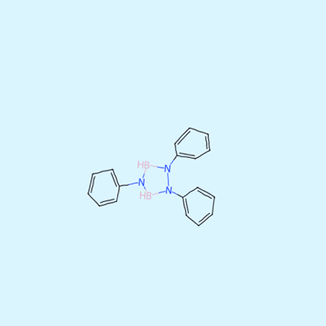 B1N(c2ccccc2)BN(c2ccccc2)N1c1ccccc1